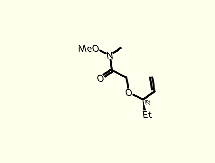 C=C[C@@H](CC)OCC(=O)N(C)OC